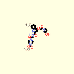 CCCCOC(=O)N1CCN(C(=O)CNC(=O)c2cc(OCC(=O)N3CC[C@@H](O)C3)c3ccc(C)cc3n2)CC1